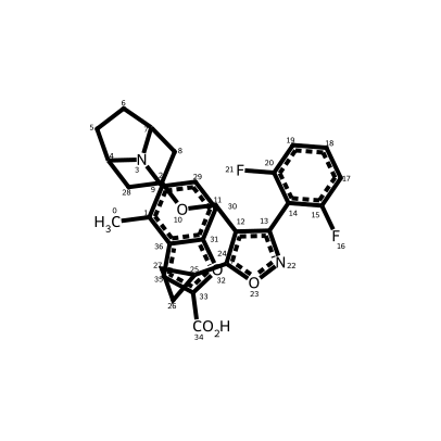 Cc1c(N2C3CCC2CC(OCc2c(-c4c(F)cccc4F)noc2C2CC2)C3)ccc2oc(C(=O)O)cc12